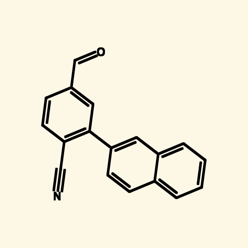 N#Cc1ccc(C=O)cc1-c1ccc2ccccc2c1